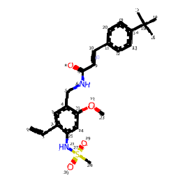 C=Cc1cc(CNC(=O)/C=C/c2ccc(C(C)(C)C)cc2)c(OC)cc1NS(C)(=O)=O